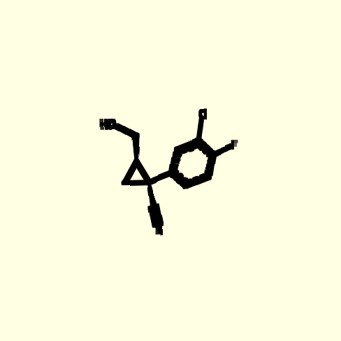 N#C[C@@]1(c2ccc(F)c(Cl)c2)C[C@H]1CO